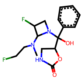 CN(CCF)C1C(F)CN1C(O)(c1ccccc1)C1CNC(=O)O1